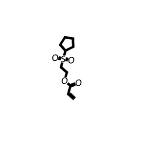 C=CC(=O)OCCS(=O)(=O)C1CCCC1